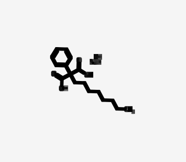 CCCCCCCCC(C(=O)O)(C(=O)O)c1ccccc1.[KH].[NaH]